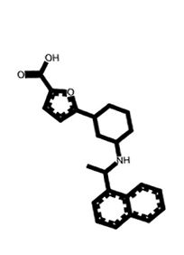 CC(NC1CCCC(c2ccc(C(=O)O)o2)C1)c1cccc2ccccc12